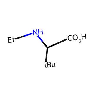 CCNC(C(=O)O)C(C)(C)C